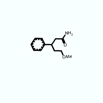 COCCC(CC(N)=O)c1ccccc1